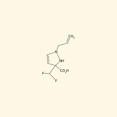 C=CCN1C=CC(C(=O)O)(C(F)F)N1